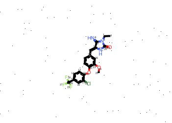 CCN1C(=N)C(=Cc2ccc(Oc3ccc(C(F)(F)F)cc3Cl)c(OC)c2)NC1=O